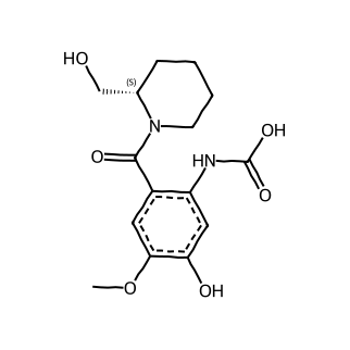 COc1cc(C(=O)N2CCCC[C@H]2CO)c(NC(=O)O)cc1O